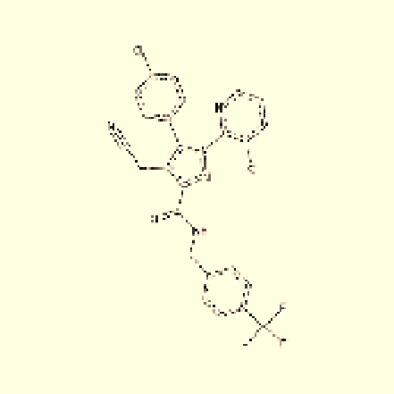 N#CCc1c(C(=O)NCc2ccc(C(F)(F)F)cc2)nn(-c2ncccc2Cl)c1-c1ccc(Cl)cc1